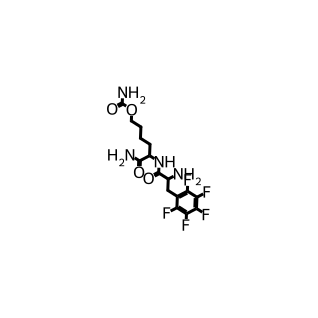 NC(=O)OCCCCC(NC(=O)C(N)Cc1c(F)c(F)c(F)c(F)c1F)C(N)=O